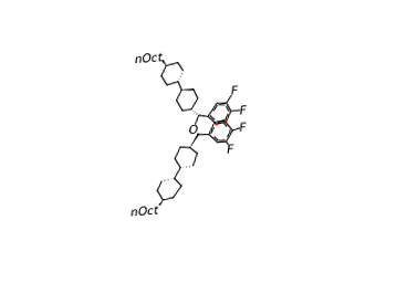 CCCCCCCC[C@H]1CC[C@H]([C@H]2CC[C@H](C(OC(c3ccc(F)c(F)c3)[C@H]3CC[C@H]([C@H]4CC[C@H](CCCCCCCC)CC4)CC3)c3ccc(F)c(F)c3)CC2)CC1